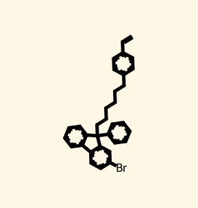 C=Cc1ccc(CCCCCCC2(c3ccccc3)c3ccccc3-c3ccc(Br)cc32)cc1